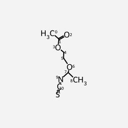 CC(=O)OCCOC(C)N=C=S